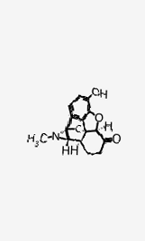 CN1[C@H]2[C@@H]3CCC(=O)[C@@H]4Oc5c(O)ccc6c5[C@@]43C[C@]621